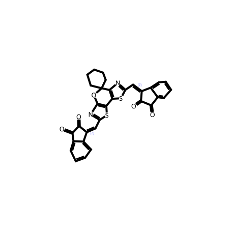 O=C1C(=O)c2ccccc2/C1=C/c1nc2c(s1)-c1sc(/C=C3\C(=O)C(=O)c4ccccc43)nc1C1(CCCCC1)O2